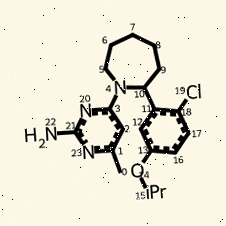 Cc1cc(N2CCCCCC2c2cc(OC(C)C)ccc2Cl)nc(N)n1